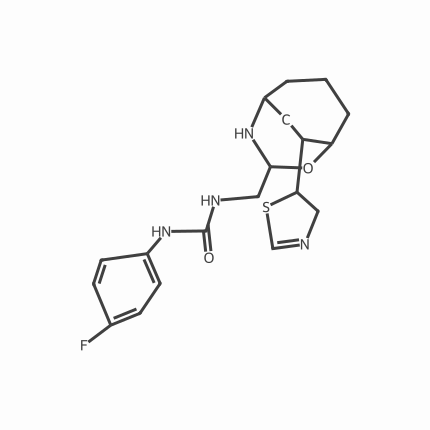 O=C(NCC1NC2CCCC(O1)C(C1CN=CS1)C2)Nc1ccc(F)cc1